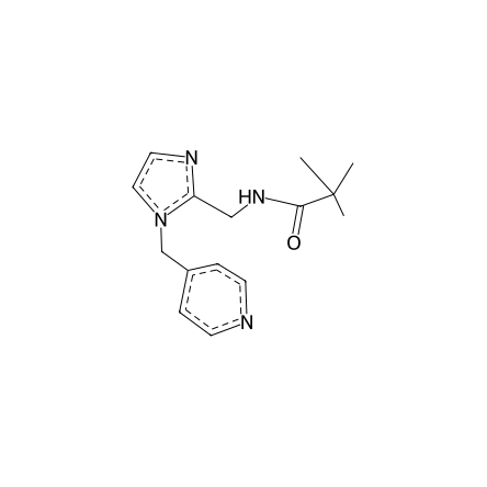 CC(C)(C)C(=O)NCc1nccn1Cc1ccncc1